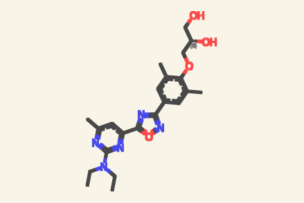 CCN(CC)c1nc(C)cc(-c2nc(-c3cc(C)c(OC[C@H](O)CO)c(C)c3)no2)n1